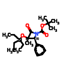 CC[Si](CC)(CC)O[C@@]1(C)C(=O)N(C(=O)OC(C)(C)C)[C@H]1c1ccccc1